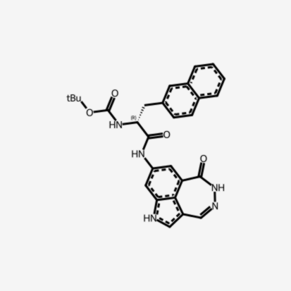 CC(C)(C)OC(=O)N[C@H](Cc1ccc2ccccc2c1)C(=O)Nc1cc2c3c(c[nH]c3c1)C=NNC2=O